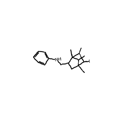 CC1C(I)C2(C)CC(CNc3ccccc3)C1(C)C2C